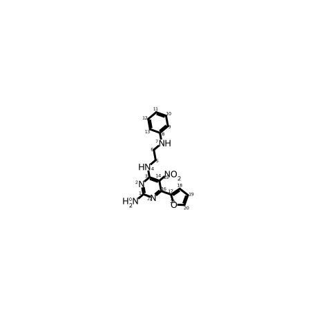 Nc1nc(NCCNc2ccccc2)c([N+](=O)[O-])c(-c2ccco2)n1